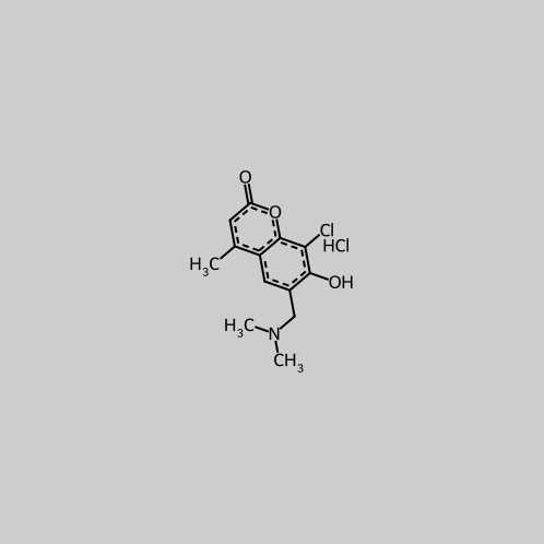 Cc1cc(=O)oc2c(Cl)c(O)c(CN(C)C)cc12.Cl